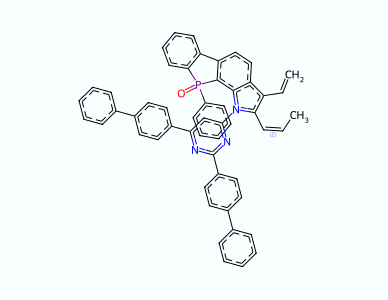 C=Cc1c(/C=C\C)n(-c2cc(-c3ccc(-c4ccccc4)cc3)nc(-c3ccc(-c4ccccc4)cc3)n2)c2c3c(ccc12)-c1ccccc1P3(=O)c1ccccc1